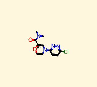 CN(C)C(=O)[C@H]1CN(c2ccc(Cl)nn2)CCO1